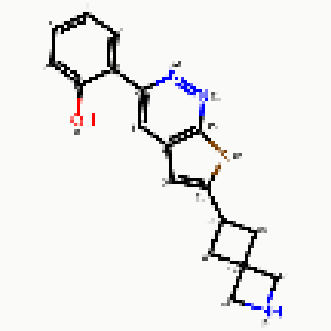 Oc1ccccc1-c1cc2cc(C3CC4(CNC4)C3)sc2nn1